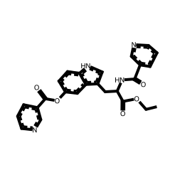 CCOC(=O)C(Cc1c[nH]c2ccc(OC(=O)c3cccnc3)cc12)NC(=O)c1cccnc1